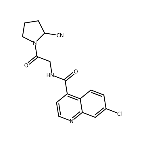 N#CC1CCCN1C(=O)CNC(=O)c1ccnc2cc(Cl)ccc12